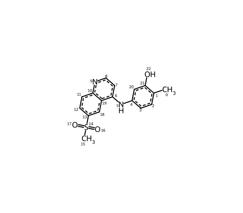 Cc1ccc(Nc2ccnc3ccc(S(C)(=O)=O)cc23)cc1O